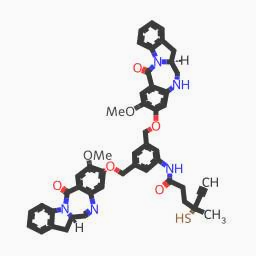 C#CC(C)(S)CCC(=O)Nc1cc(COc2cc3c(cc2OC)C(=O)N2c4ccccc4C[C@H]2C=N3)cc(COc2cc3c(cc2OC)C(=O)N2c4ccccc4C[C@H]2CN3)c1